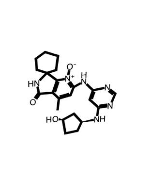 Cc1cc(Nc2cc(N[C@H]3CC[C@@H](O)C3)ncn2)[n+]([O-])c2c1C(=O)NC21CCCCC1